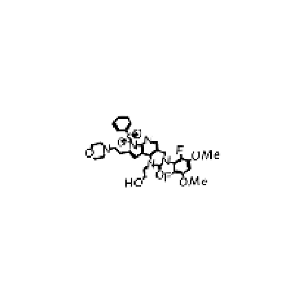 COc1cc(OC)c(F)c(N2Cc3cnc4c(cc(CCN5CCOCC5)n4S(=O)(=O)c4ccccc4)c3N(CCO)C2=O)c1F